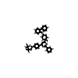 CC1(c2cc(-c3ccc(B4OC(C)(C)C(C)(C)O4)cc3)nc(-c3ccccc3)n2)C=CC(n2c3ccccc3c3ccccc32)=CC1